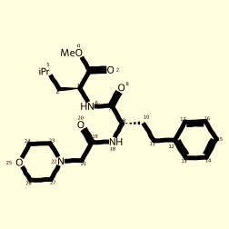 COC(=O)[C@H](CC(C)C)NC(=O)[C@H](CCc1ccccc1)NC(=O)CN1CCOCC1